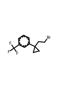 FC(F)(F)c1cccc(C2(CCBr)CC2)c1